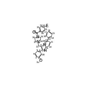 COc1cccc(-c2nc3ccc(-c4ccccc4)cn3c2CN2CCN(C(=O)c3ccc(F)cc3)CC2)c1